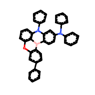 c1ccc(-c2ccc3c(c2)Oc2cccc4c2B3c2ccc(N(c3ccccc3)c3ccccc3)cc2N4c2ccccc2)cc1